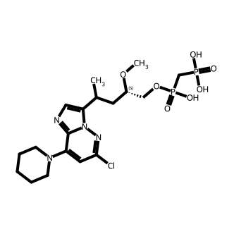 CO[C@H](COP(=O)(O)CP(=O)(O)O)CC(C)c1cnc2c(N3CCCCC3)cc(Cl)nn12